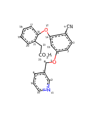 N#Cc1ccc(OCc2cccnc2)cc1Oc1ccccc1CC(=O)O